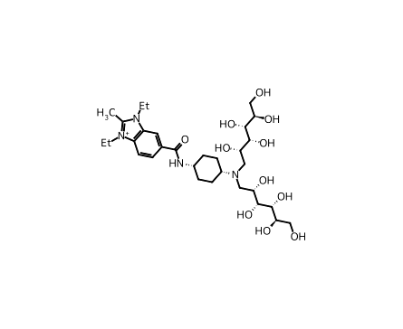 CCn1c(C)[n+](CC)c2ccc(C(=O)N[C@H]3CC[C@@H](N(C[C@H](O)[C@@H](O)[C@H](O)[C@H](O)CO)C[C@H](O)[C@@H](O)[C@H](O)[C@H](O)CO)CC3)cc21